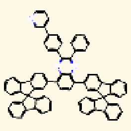 c1ccc(-c2nc3c(-c4ccc5c(c4)C4(c6ccccc6-c6ccccc64)c4ccccc4-5)ccc(-c4ccc5c(c4)C4(c6ccccc6-c6ccccc64)c4ccccc4-5)c3nc2-c2ccc(-c3cccnc3)cc2)cc1